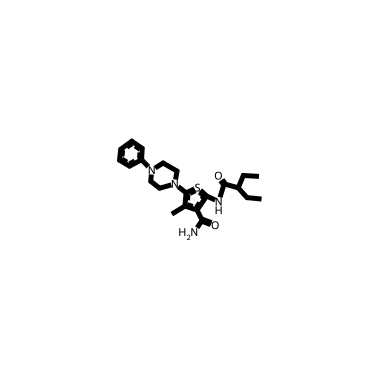 CCC(CC)C(=O)Nc1sc(N2CCN(c3ccccc3)CC2)c(C)c1C(N)=O